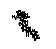 CC1C[C@H](NC(=O)c2ccc3[nH]c(-c4cc5ccccc5cn4)nc3c2)C(=O)C1(N)c1ncc[nH]1